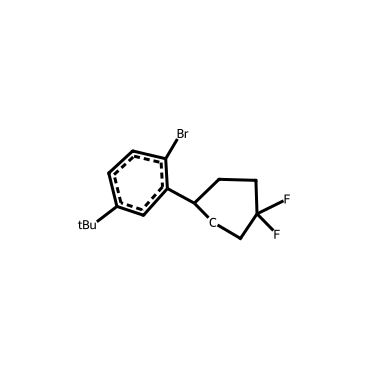 CC(C)(C)c1ccc(Br)c(C2CCC(F)(F)CC2)c1